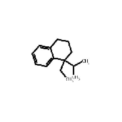 CCC1(C(C)C)CCCc2ccccc21